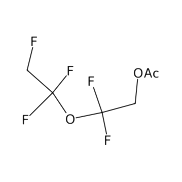 CC(=O)OCC(F)(F)OC(F)(F)CF